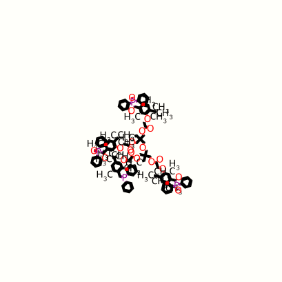 CCC(COCC(CC)(COC(=O)COc1c(C(C)(C)C)cc(C)c(C(=O)P(=O)(c2ccccc2)c2ccccc2)c1C)COC(=O)COc1c(C(C)(C)C)cc(C)c(C(=O)P(=O)(c2ccccc2)c2ccccc2)c1C)(COC(=O)COc1c(C(C)(C)C)cc(C)c(CP(c2ccccc2)c2ccccc2)c1C)COC(=O)COc1c(C(C)(C)C)cc(C)c(C(=O)P(=O)(c2ccccc2)c2ccccc2)c1C